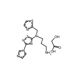 NCCCN(Cc1nccs1)c1nc(-n2ccnc2)ns1.O=C(O)CO